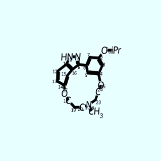 CC(C)Oc1cc2cc(c1)-c1n[nH]c3ccc(cc13)OCCCN(C)CCO2